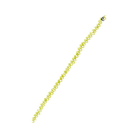 S=C=S=S=S=S=S=S=S=S=S=S=S=S=S=S=S=S=S=S=S=S=S=S=S=S=S=S=S=S=S=S=S=S=S=S=S=S=S=S=S=S=S=S=S=S=S=S=S=S=S=S=S=S=S=S=S=S=S=S=S=S=S=S=S=S=S=S=S=S=S=S=S=S